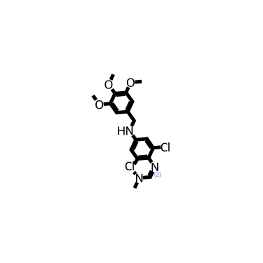 COc1cc(CNc2cc(Cl)c(/N=C\N(C)C)c(Cl)c2)cc(OC)c1OC